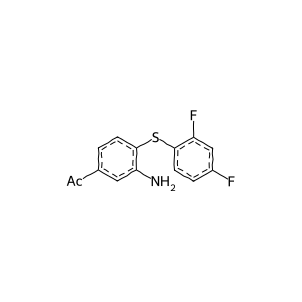 CC(=O)c1ccc(Sc2ccc(F)cc2F)c(N)c1